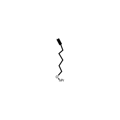 [C]#CCCCCCOCCC